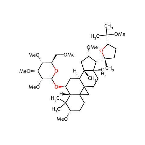 COC[C@H]1OC(O[C@H]2C[C@@H]3[C@]4(CC[C@]5(C)[C@@H]([C@@]6(C)CC[C@@H](C(C)(C)OC)O6)[C@@H](OC)C[C@@]35C)CC43CC[C@H](OC)C(C)(C)[C@H]23)[C@H](OC)[C@@H](OC)[C@@H]1OC